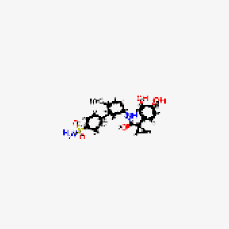 Cc1ccc(NC(=O)C2(c3ccc(O)c(O)c3)CC2)cc1-c1ccc(S(N)(=O)=O)cc1